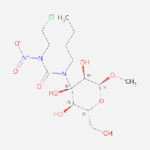 CCCCN(C(=O)N(CCCl)[N+](=O)[O-])[C@@]1(O)[C@H](O)[C@@H](CO)O[C@H](OC)[C@@H]1O